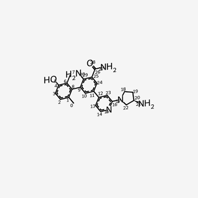 Cc1ccc(O)c(C)c1-c1cc(-c2ccnc(N3CC[C@@H](N)C3)c2)cc(C(N)=O)c1N